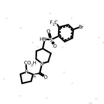 O=C([C@H]1CCCN1C(=O)O)N1CCC(NS(=O)(=O)c2ccc(Br)cc2C(F)(F)F)CC1